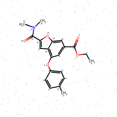 CCOC(=O)c1cc(Oc2ccc(C)cc2)c2cc(C(=O)N(C)C)oc2c1